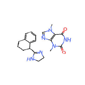 Cn1cnc2c1c(=O)[nH]c(=O)n2C.c1ccc2c(c1)CCCC2C1=NCCN1